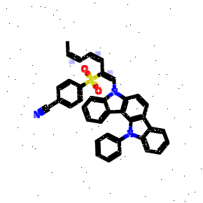 C\C=C/C=C\C(=C\n1c2ccccc2c2c1ccc1c3ccccc3n(-c3ccccc3)c12)S(=O)(=O)c1ccc(C#N)cc1